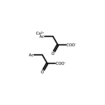 CC(=O)CC(=O)C(=O)[O-].CC(=O)CC(=O)C(=O)[O-].[Ca+2]